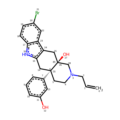 C=CCN1CC[C@@]2(c3cccc(O)c3)Cc3[nH]c4ccc(Br)cc4c3C[C@]2(O)C1